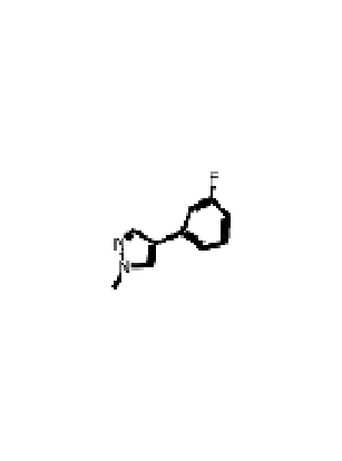 Cn1cc(-c2cccc(F)c2)cn1